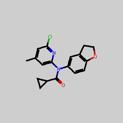 Cc1cc(Cl)nc(N(C(=O)C2CC2)c2ccc3c(c2)CCO3)c1